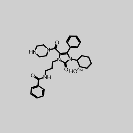 O=C(NCCCn1c(C(=O)N2CCNCC2)c(-c2ccccc2)n(C2CCCC[C@@H]2O)c1=O)c1ccccc1